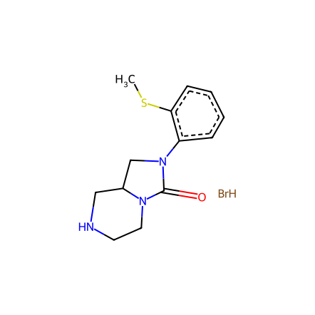 Br.CSc1ccccc1N1CC2CNCCN2C1=O